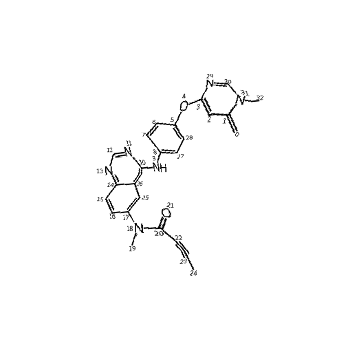 C=C1C=C(Oc2ccc(Nc3ncnc4ccc(N(C)C(=O)C#CC)cc34)cc2)N=CN1C